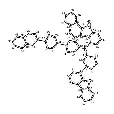 c1cc(-c2cccc3c2sc2ccccc23)cc(N(c2ccc(-c3ccc(-c4ccc5ccccc5c4)cc3)cc2)c2cccc3oc4c5ccccc5ccc4c23)c1